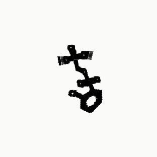 O=P(O)(O)COS(=O)(=O)c1ccccc1Cl